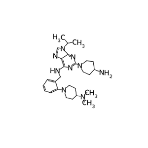 CC(C)n1cnc2c(NCc3ccccc3N3CCC(N(C)C)CC3)nc(N3CCC(N)CC3)nc21